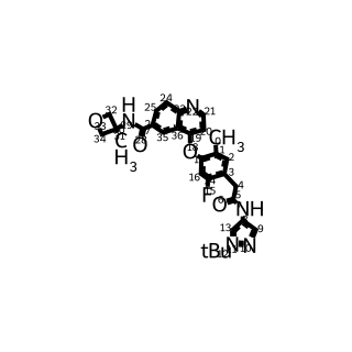 Cc1cc(CC(=O)Nc2cnn(C(C)(C)C)c2)c(F)cc1Oc1ccnc2ccc(C(=O)NC3(C)COC3)cc12